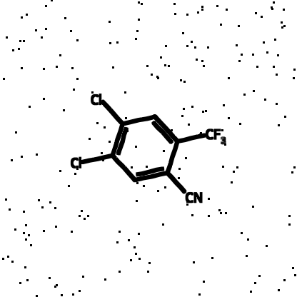 N#Cc1cc(Cl)c(Cl)cc1C(F)(F)F